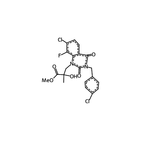 COC(=O)C(C)(O)Cn1c(=O)n(Cc2ccc(Cl)cc2)c(=O)c2ccc(Cl)c(F)c21